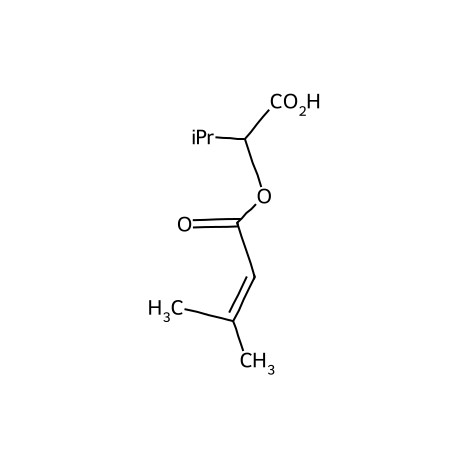 CC(C)=CC(=O)OC(C(=O)O)C(C)C